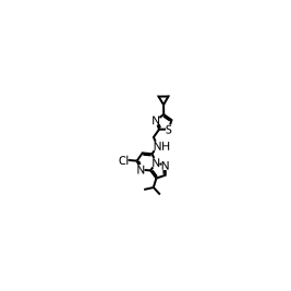 CC(C)c1cnn2c(NCc3nc(C4CC4)cs3)cc(Cl)nc12